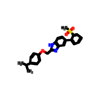 CC(C)c1ccc(OCc2nc3cc(-c4ccccc4S(C)(=O)=O)ccc3[nH]2)cc1